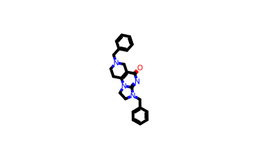 O=c1nc2n(c3c1CN(Cc1ccccc1)CC3)CCN2Cc1ccccc1